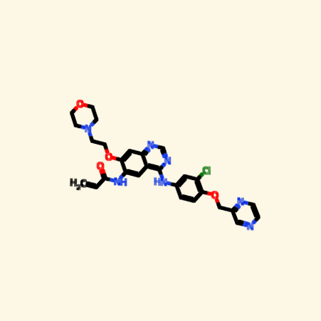 C=CC(=O)Nc1cc2c(Nc3ccc(OCc4cnccn4)c(Cl)c3)ncnc2cc1OCCN1CCOCC1